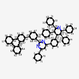 c1ccc(-c2cc(-c3cccc(-c4c(-c5ccccc5)c(-c5ccccc5)nc(-c5ccccc5)c4-c4ccccc4)c3)nc(-c3cccc(-c4ccc5c6ccccc6c6ccccc6c5c4)c3)n2)cc1